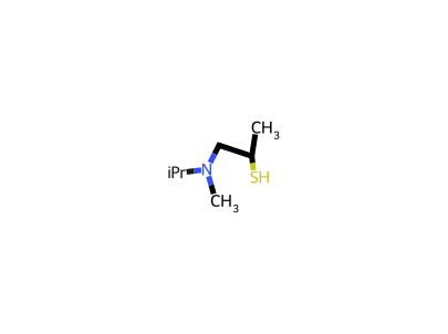 CC(S)CN(C)C(C)C